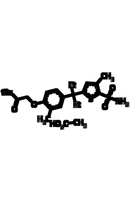 CC(=O)O.CCC(CC)(c1ccc(OCC(=O)C(C)(C)C)c(C)c1)c1cc(C)c(S(N)(=O)=O)s1